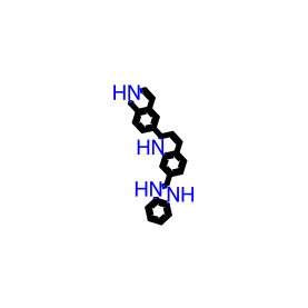 C1=Cc2cc(C3C=Cc4ccc(C5Nc6ccccc6N5)cc4N3)ccc2CN1